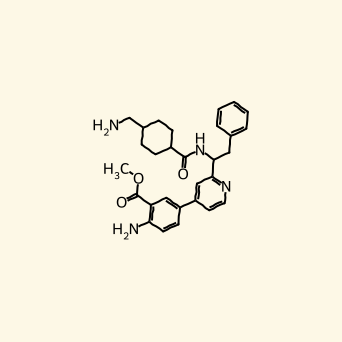 COC(=O)c1cc(-c2ccnc(C(Cc3ccccc3)NC(=O)C3CCC(CN)CC3)c2)ccc1N